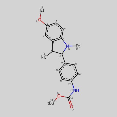 CCOc1ccc2c(c1)C(C#N)C(c1ccc(NC(=O)OC(C)(C)C)cc1)N2CC